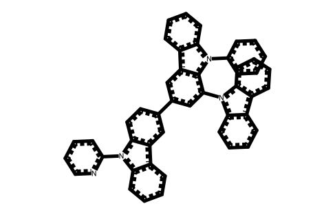 c1ccc(-n2c3ccccc3c3cc(-c4ccc5c(c4)c4ccccc4n5-c4ccccn4)cc(-n4c5ccccc5c5ccccc54)c32)cc1